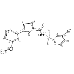 CCOc1cncc(-c2cnc(C(=O)NC(C)(C)c3cccc(Br)c3)s2)n1